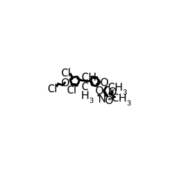 C[C@H](Oc1ccc(C(C)(C)c2cc(Cl)c(OCCCl)c(Cl)c2)cc1)c1ocnc1S(C)(=O)=O